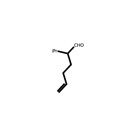 C=CCCC(C=O)C(C)C